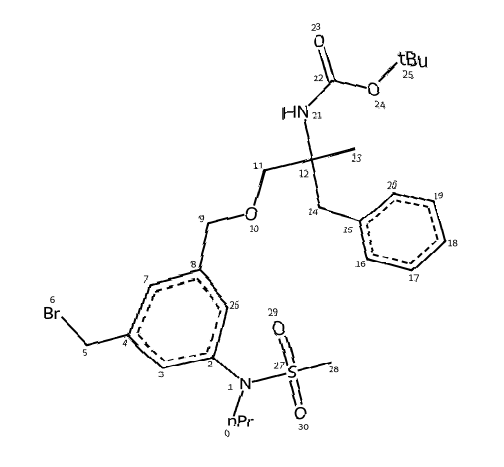 CCCN(c1cc(CBr)cc(COCC(C)(Cc2ccccc2)NC(=O)OC(C)(C)C)c1)S(C)(=O)=O